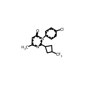 Cc1cc(=O)n(-c2ccc(Cl)cc2)c(C2CC(C(F)(F)F)C2)n1